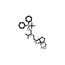 CC(C)[C@H](CC[C@H](C)[C@@]1(C)CC[C@@H](CO)C1(C)C)CO[Si](c1ccccc1)(c1ccccc1)C(C)(C)C